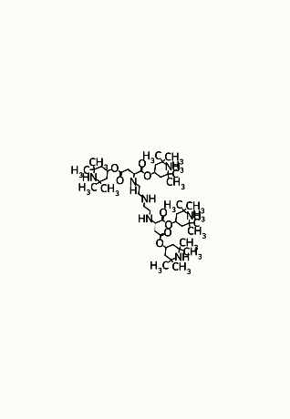 CC1(C)CC(OC(=O)C[C@H](NCCNCCN[C@@H](CC(=O)OC2CC(C)(C)NC(C)(C)C2)C(=O)OC2CC(C)(C)NC(C)(C)C2)C(=O)OC2CC(C)(C)NC(C)(C)C2)CC(C)(C)N1